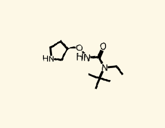 CCN(C(=O)NO[C@@H]1CCNC1)C(C)(C)C